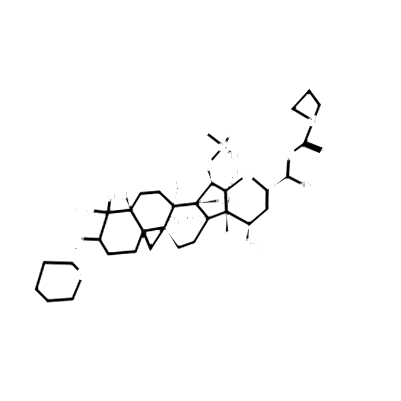 CC[Si](CC)(CC)O[C@H]1[C@H]2O[C@@H](C(OC(=O)N3CCC3)C(C)C)C[C@@H](C)[C@@H]2[C@@]2(C)CC[C@@]34CC35CCC(O[C@H]3CCCCO3)C(C)(C)[C@@H]5CC[C@H]4[C@]12C